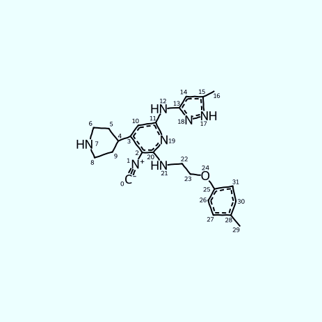 [C-]#[N+]c1c(C2CCNCC2)cc(Nc2cc(C)[nH]n2)nc1NCCOc1ccc(C)cc1